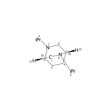 CC(C)N1C[C@@H]2CC[C@H]1CN2C(C)C